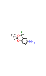 CC1(F)OC(C)(C(F)(F)F)Oc2ccc(N)cc21